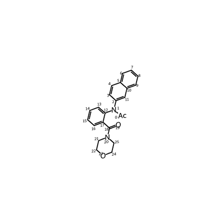 CC(=O)N(c1ccc2ccccc2c1)c1ccccc1C(=O)N1CCOCC1